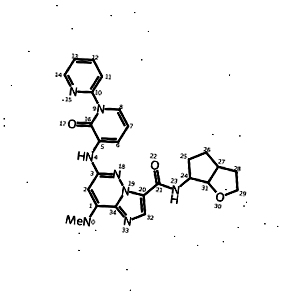 CNc1cc(Nc2cccn(-c3ccccn3)c2=O)nn2c(C(=O)NC3CCC4CCOC43)cnc12